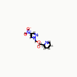 O=C(OCn1cc([N+](=O)[O-])cn1)c1ccccn1